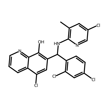 Cc1cc(Cl)cnc1NC(c1ccc(Cl)cc1Cl)c1cc(Cl)c2cccnc2c1O